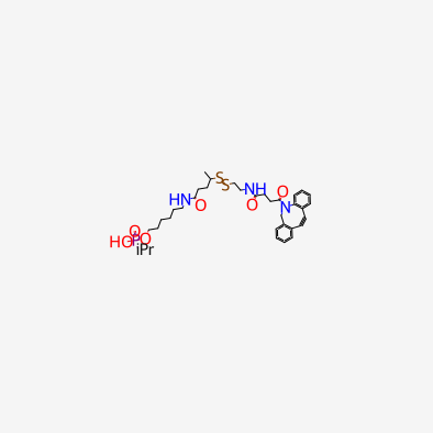 CC(CCC(=O)NCCCCCCOP(=O)(O)C(C)C)SSCCNC(=O)CCC(=O)N1Cc2ccccc2C#Cc2ccccc21